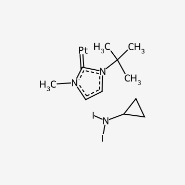 Cn1ccn(C(C)(C)C)[c]1=[Pt].IN(I)C1CC1